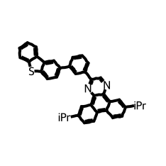 CC(C)c1ccc2c3ccc(C(C)C)cc3c3nc(-c4cccc(-c5ccc6sc7ccccc7c6c5)c4)cnc3c2c1